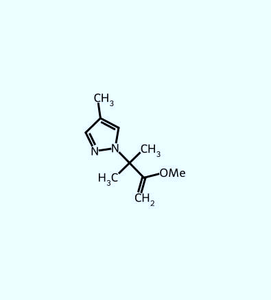 C=C(OC)C(C)(C)n1cc(C)cn1